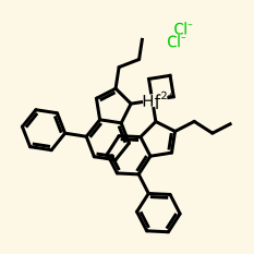 CCCC1=Cc2c(-c3ccccc3)cccc2[CH]1[Hf+2]1([CH]2C(CCC)=Cc3c(-c4ccccc4)cccc32)[CH2]C[CH2]1.[Cl-].[Cl-]